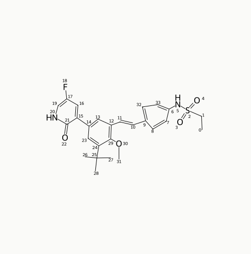 CCS(=O)(=O)Nc1ccc(/C=C/c2cc(-c3cc(F)c[nH]c3=O)cc(C(C)(C)C)c2OC)cc1